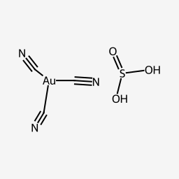 N#[C][Au]([C]#N)[C]#N.O=S(O)O